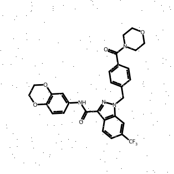 O=C(Nc1ccc2c(c1)OCCO2)c1nn(Cc2ccc(C(=O)N3CCOCC3)cc2)c2cc(C(F)(F)F)ccc12